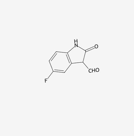 O=CC1C(=O)Nc2ccc(F)cc21